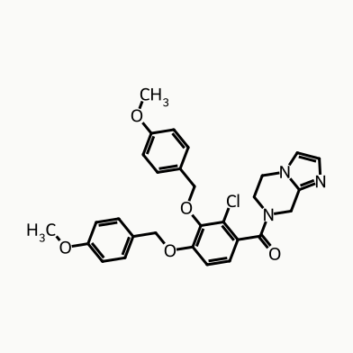 COc1ccc(COc2ccc(C(=O)N3CCn4ccnc4C3)c(Cl)c2OCc2ccc(OC)cc2)cc1